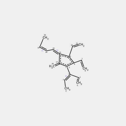 C=C/C(=C\C)n1c(C=C)c(C=C)/c(=C/C=C\C)c1=C